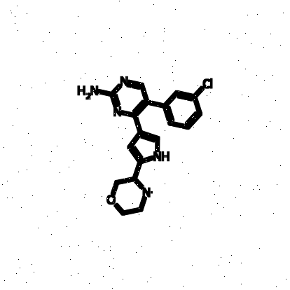 Nc1ncc(-c2cccc(Cl)c2)c(-c2c[nH]c(C3COCC[N]3)c2)n1